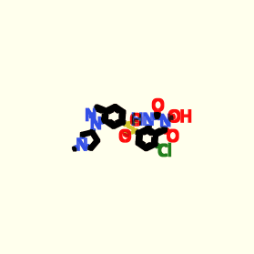 CN1CCC(n2ncc3ccc(S(=O)(=O)c4ccc(Cl)c5c(=O)n(O)c(=O)[nH]c45)cc32)C1